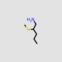 CCCC(CN)SC